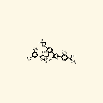 C=C(O)c1ccc(-c2nc(C)c(-c3cnc(N4CC(F)(F)C4)nc3CN3C(=O)O[C@H](c4cc(C)cc(C(F)(F)F)c4)[C@@H]3C)s2)c(C)c1